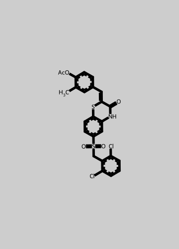 CC(=O)Oc1ccc(/C=C2\Sc3ccc(S(=O)(=O)Cc4c(Cl)cccc4Cl)cc3NC2=O)cc1C